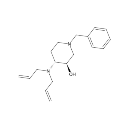 C=CCN(CC=C)[C@@H]1CCN(Cc2ccccc2)C[C@H]1O